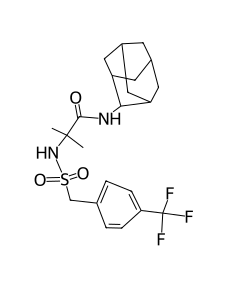 CC(C)(NS(=O)(=O)Cc1ccc(C(F)(F)F)cc1)C(=O)NC1C2CC3CC(C2)CC1C3